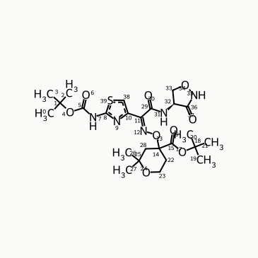 CC(C)(C)OC(=O)Nc1nc(/C(=N/OC2(C(=O)OC(C)(C)C)CCOC(C)(C)C2)C(=O)N[C@H]2CONC2=O)cs1